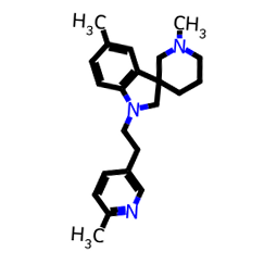 Cc1ccc2c(c1)C1(CCCN(C)C1)CN2CCc1ccc(C)nc1